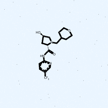 O=C(Nc1ccc(C(F)(F)F)cn1)[C@@H]1C[C@@H](O)CN1CC1CCOCC1